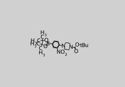 CC(C)(C)OC(=O)N1CCN(c2ccc(B3OC(C)(C)C(C)(C)O3)cc2[N+](=O)[O-])CC1